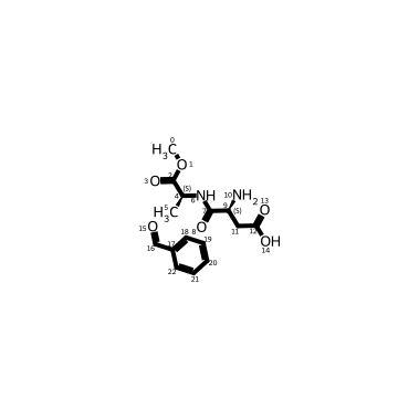 COC(=O)[C@H](C)NC(=O)[C@@H](N)CC(=O)O.O=Cc1ccccc1